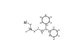 CN(CBr)CCOC(c1ccccc1)c1ccccc1